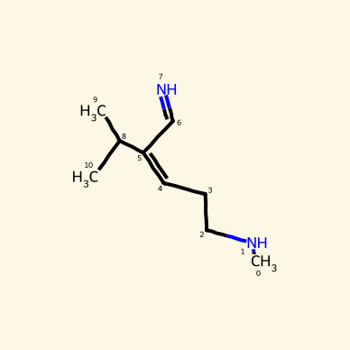 CNCC/C=C(\C=N)C(C)C